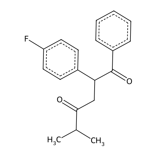 CC(C)C(=O)CC(C(=O)c1ccccc1)c1ccc(F)cc1